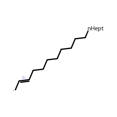 [CH2]/C=C/CCCCCCCCCCCCCC[CH2]